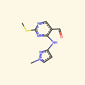 CSc1ncc(C=O)c(Nc2ccn(C)n2)n1